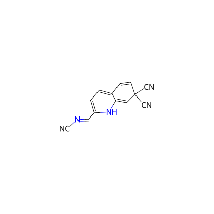 N#CN=CC1=CC=C2C=CC(C#N)(C#N)C=C2N1